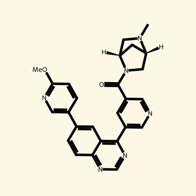 COc1ccc(-c2ccc3ncnc(-c4cncc(C(=O)N5C[C@@H]6C[C@H]5CN6C)c4)c3c2)cn1